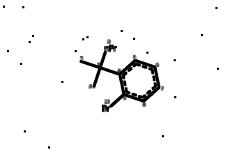 CCCC(C)(C)c1[c]cccc1Br